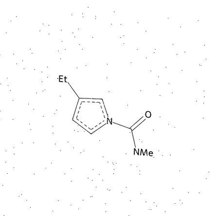 C[CH]c1ccn(C(=O)NC)c1